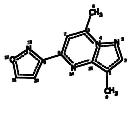 Cc1cnn2c(C)cc(-c3ccon3)nc12